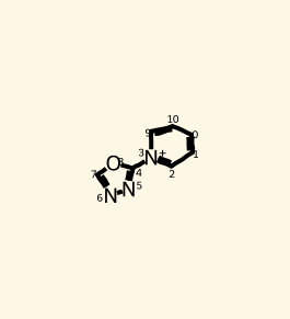 c1cc[n+](-c2nnco2)cc1